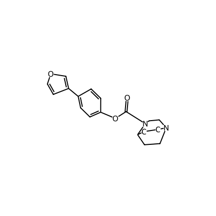 O=C(Oc1ccc(-c2ccoc2)cc1)N1CCN2CCC1CC2